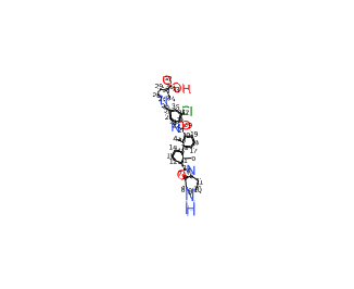 Cc1c(-c2nc3c(o2)CNCC3)cccc1-c1cccc(-c2nc3cc(CN4CCC(C(=O)O)C4)cc(Cl)c3o2)c1C